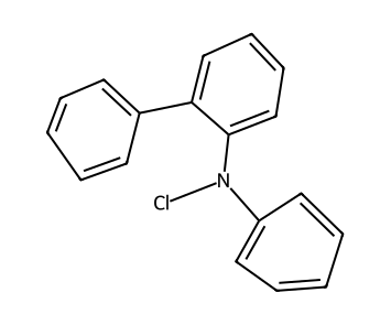 ClN(c1ccccc1)c1ccccc1-c1ccccc1